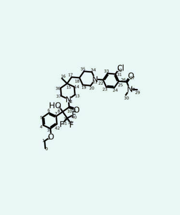 CCOc1cccc(C(O)(C(=O)N2CCC(C)(CC3CCN(c4ccc(C(=O)N(C)C)c(Cl)c4)CC3)CC2)C(F)(F)F)c1